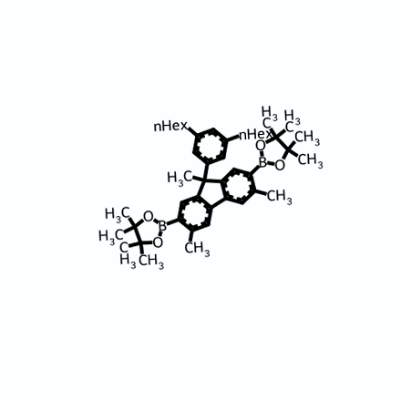 CCCCCCc1cc(CCCCCC)cc(C2(C)c3cc(B4OC(C)(C)C(C)(C)O4)c(C)cc3-c3cc(C)c(B4OC(C)(C)C(C)(C)O4)cc32)c1